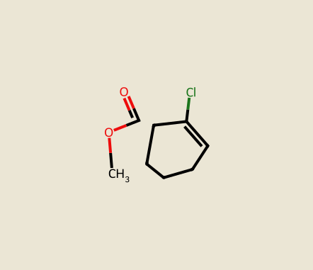 COC=O.ClC1=CCCCC1